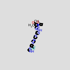 CC(=O)c1c(C)c2cnc(Nc3ccc(N4CCC(N5CCN(c6ccc(N7C=CCNC7)c(C(F)(F)F)c6)CC5)CC4)cn3)nc2n(C2CCCC2)c1=O